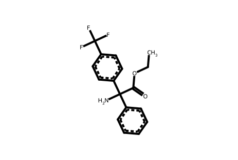 CCOC(=O)C(N)(c1ccccc1)c1ccc(C(F)(F)F)cc1